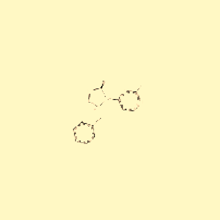 O=C1OC[C@@H](Cc2ccccc2)N1c1ccnc(Cl)n1